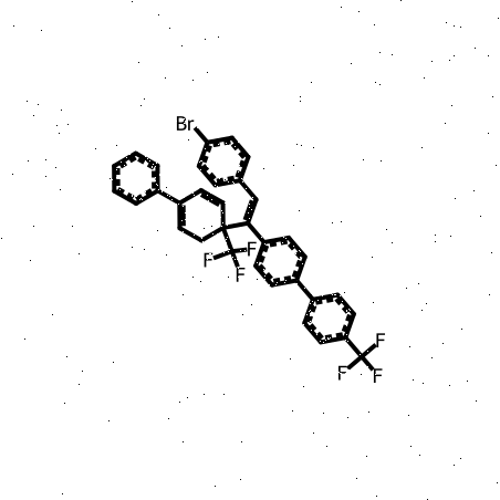 FC(F)(F)c1ccc(-c2ccc(C(=Cc3ccc(Br)cc3)C3(C(F)(F)F)C=CC(c4ccccc4)=CC3)cc2)cc1